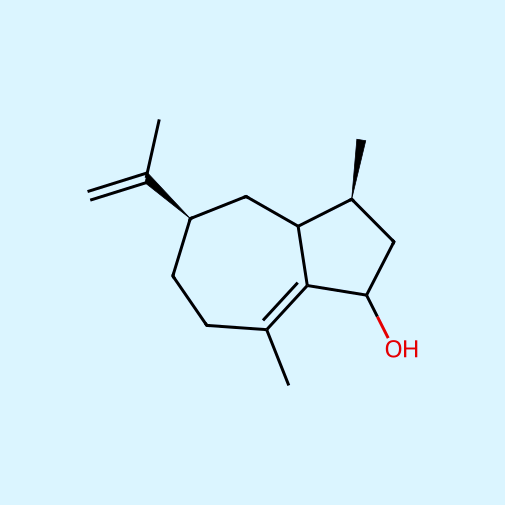 C=C(C)[C@@H]1CCC(C)=C2C(O)C[C@H](C)C2C1